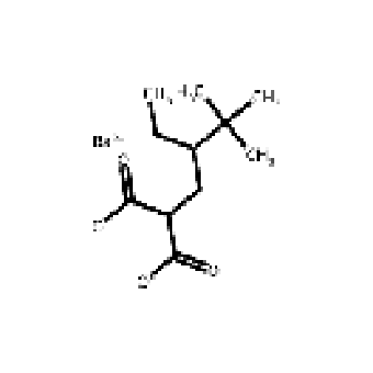 CCC(CC(C(=O)[O-])C(=O)[O-])C(C)(C)C.[Ba+2]